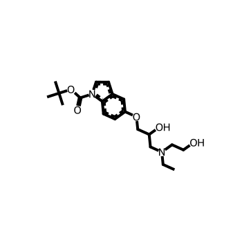 CCN(CCO)CC(O)COc1ccc2c(ccn2C(=O)OC(C)(C)C)c1